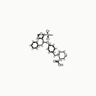 CS(=O)(=O)c1ocnc1C(Cc1ccccc1)Oc1ccc(CN2CCOC[C@H]2C(=O)O)cc1